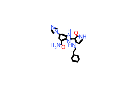 NC(=O)c1cc(-n2ccnc2)cc2[nH]c(-c3c(NC[CH]c4ccccc4)cc[nH]c3=O)nc12